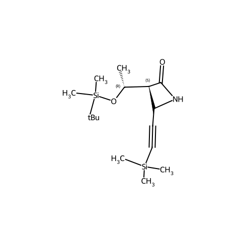 C[C@@H](O[Si](C)(C)C(C)(C)C)[C@H]1C(=O)NC1C#C[Si](C)(C)C